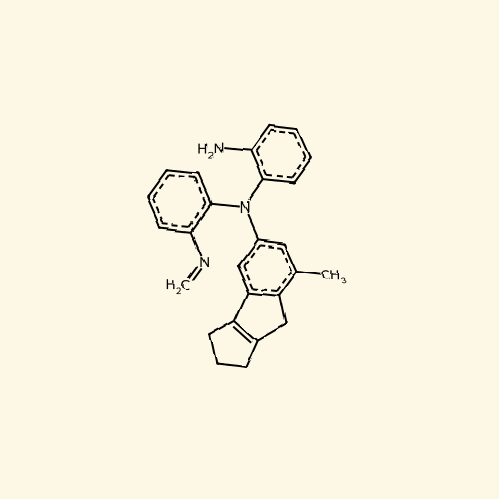 C=Nc1ccccc1N(c1cc(C)c2c(c1)C1=C(CCC1)C2)c1ccccc1N